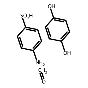 C=O.Nc1ccc(S(=O)(=O)O)cc1.Oc1ccc(O)cc1